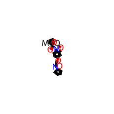 COC(=O)N(C(=O)c1ccco1)c1ccc(OCc2nc3ccccc3o2)cc1C